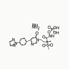 C[C@@](CCn1cnc(-c2ccc(-n3nccn3)cc2)cc1=O)(C(=O)NOP(=O)(O)O)S(C)(=O)=O.N.N